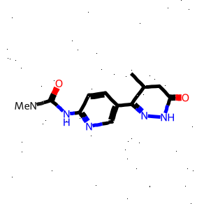 CNC(=O)Nc1ccc(C2=NNC(=O)CC2C)cn1